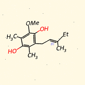 CC/C(C)=C/Cc1c(C)c(O)c(C)c(OC)c1O